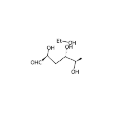 CCO.C[C@@H](O)[C@@H](O)C[C@H](O)C=O